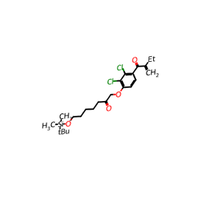 C=C(CC)C(=O)c1ccc(OCC(=O)CCCCCO[Si](C)(C)C(C)(C)C)c(Cl)c1Cl